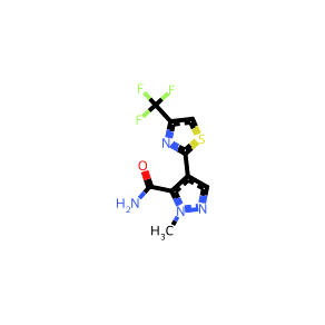 Cn1ncc(-c2nc(C(F)(F)F)cs2)c1C(N)=O